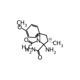 COc1ccc(C[C@H](C)C(N)(NC(C)=O)C(N)=O)cc1